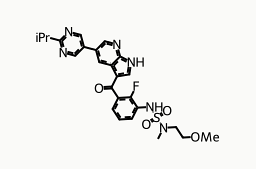 COCCN(C)S(=O)(=O)Nc1cccc(C(=O)c2c[nH]c3ncc(-c4cnc(C(C)C)nc4)cc23)c1F